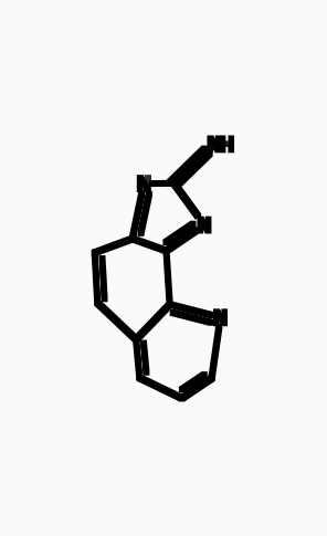 N=C1N=c2ccc3cccnc3c2=N1